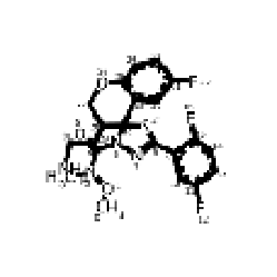 CON(C)C(=O)N1N=C(c2cc(F)ccc2F)SC12c1cc(F)ccc1OCC2CCN